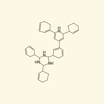 C1=CCCC(C2=CC(C3=CC(C4NC(C5C=CC=CC5)NC(C5C=CCCC5)N4)CC=C3)=CC(C3C=CCCC3)N2)=C1